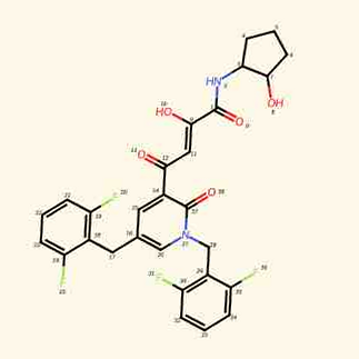 O=C(NC1CCCC1O)C(O)=CC(=O)c1cc(Cc2c(F)cccc2F)cn(Cc2c(F)cccc2F)c1=O